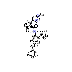 C=C(/C=C\C=C/C)[C@@H]1COC(=O)N1C(=O)/C=C/c1ncc(OCc2ccccc2)cc1C1OCCO1